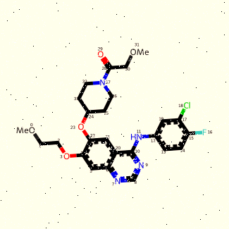 COCCOc1cc2ncnc(Nc3ccc(F)c(Cl)c3)c2cc1OC1CCN(C(=O)COC)CC1